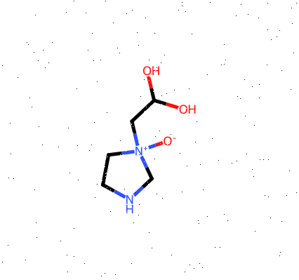 [O-][N+]1(CC(O)O)CCNC1